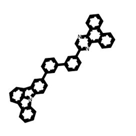 c1cc(-c2cccc(-c3cnc4c5ccccc5c5ccccc5c4n3)c2)cc(-c2ccc3c(c2)c2cccc4c5ccccc5n3c42)c1